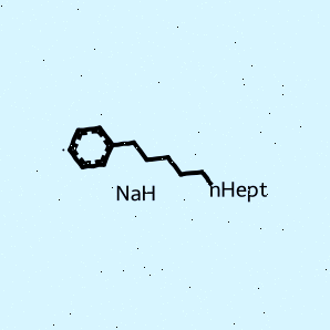 CCCCCCCCCCCCc1cc[c]cc1.[NaH]